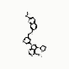 CCNc1ccc2ccc(OCc3cncc(-n4cc([C@H]5CCCO5)c5c(N)ncnc54)c3)cc2n1